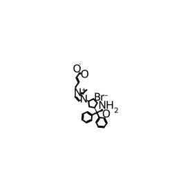 COC(=O)/C=C/C[n+]1ccn([C@H]2CC[C@@H](C(C(N)=O)(c3ccccc3)c3ccccc3)C2)c1C.[Br-]